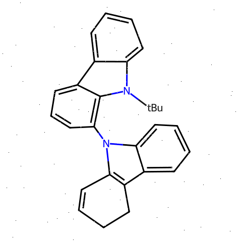 CC(C)(C)n1c2ccccc2c2cccc(-n3c4c(c5ccccc53)CCC=C4)c21